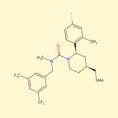 CSC[C@H]1CCN(C(=O)N(C)Cc2cc(C(F)(F)F)cc(C(F)(F)F)c2)[C@@H](c2ccc(F)cc2C)C1